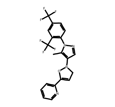 Cc1c(N2CC=C(c3ccccn3)O2)cnn1-c1ccc(C(F)(F)F)cc1C(F)(F)F